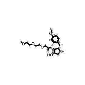 COCCOCCOCC(=O)O[C@@H]1[C@@H](O)CN[C@@H]1Cc1ccc(OC)cc1